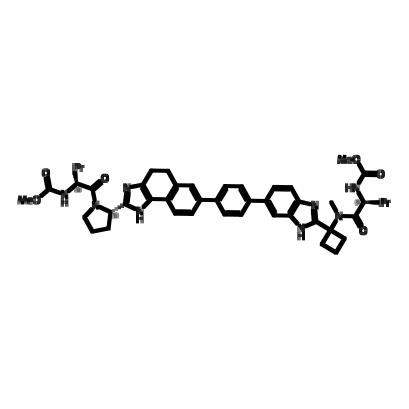 COC(=O)N[C@H](C(=O)N1CCC[C@H]1c1nc2c([nH]1)-c1ccc(-c3ccc(-c4ccc5nc(C6(N(C)C(=O)[C@@H](NC(=O)OC)C(C)C)CCC6)[nH]c5c4)cc3)cc1CC2)C(C)C